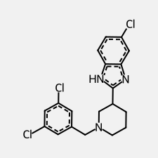 Clc1cc(Cl)cc(CN2CCCC(c3nc4cc(Cl)ccc4[nH]3)C2)c1